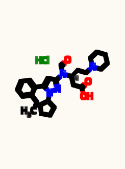 CCc1ccccc1-c1cc(N(C=O)[C@@H](CCN2CCCCC2)CC(=O)O)nn1C1CCCC1.Cl